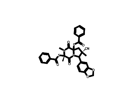 CN1C(=O)C2(SC(=O)c3ccccc3)C[C@](C)(C#N)C(c3ccc4c(c3)OCO4)N2C(=O)[C@]1(C)SC(=O)c1ccccc1